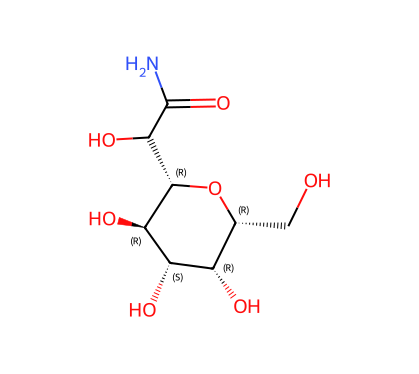 NC(=O)C(O)[C@@H]1O[C@H](CO)[C@H](O)[C@H](O)[C@H]1O